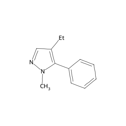 CCc1cnn(C)c1-c1ccccc1